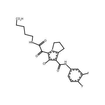 O=C(O)CCCCNC(=O)C(=O)c1c(Cl)c(C(=O)Nc2ccc(F)c(F)c2)c2n1CCC2